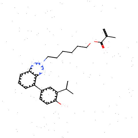 C=C(C)C(=O)OCCCCCCn1nc2cccc(-c3ccc(O)c(C(C)C)c3)c2n1